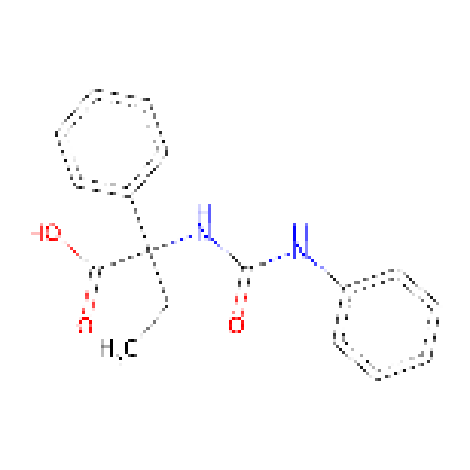 CCC(NC(=O)Nc1ccccc1)(C(=O)O)c1ccccc1